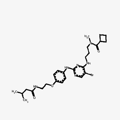 CC(C)CC(=O)NCCOc1ccc(Nc2ncc(Br)c(NCCCN(C)C(=O)C3CCC3)n2)cc1